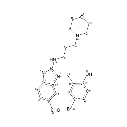 O=Cc1ccc2nc(NCCCN3CCOCC3)n(Cc3cc(Br)ccc3O)c2c1